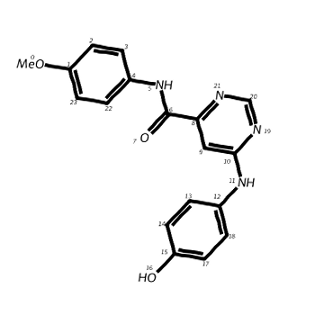 COc1ccc(NC(=O)c2cc(Nc3ccc(O)cc3)ncn2)cc1